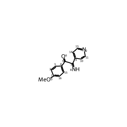 COc1ccc(C(=O)C(=N)c2ccncc2)cc1